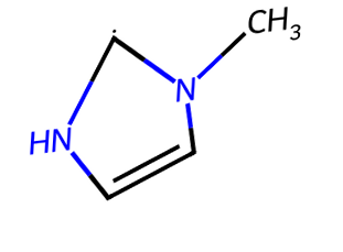 CN1[CH]NC=C1